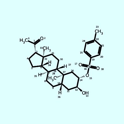 CC(=O)[C@H]1CC[C@H]2[C@@H]3CC[C@H]4C[C@H](O)[C@@H](OS(=O)(=O)c5ccc(C)cc5)C[C@]4(C)[C@H]3CC[C@]12C